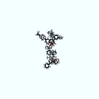 CO[C@@H](C)c1ncc(N2CCN(C3CC3)CC2)cc1-c1c(CC(C)(C)COC(=O)[C@@H]2CCCN(C(=O)[C@H](C[C@H]3CNCCO3)NC(=O)OCc3ccccc3)N2)c2cc(Br)ccc2n1CC(F)(F)F